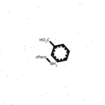 CCCCCN.O=C(O)c1ccccc1